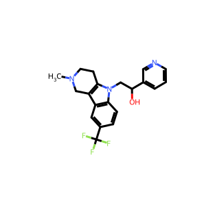 CN1CCc2c(c3cc(C(F)(F)F)ccc3n2CC(O)c2cccnc2)C1